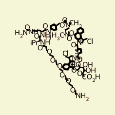 CC(C)C(NC(=O)CCOCCOCCOCCOCCOCCOCCN)C(=O)NC(CCCNC(N)=O)C(=O)Nc1ccc(COC(=O)N(C)CCN(C)C(=O)Oc2cc3c(c4ccccc24)C(CCl)CN3C(=O)c2ccc(C(=O)N3CC(CCl)c4c3cc(OC3OC(C(=O)O)C(O)C(O)C3O)c3ccccc43)s2)cc1